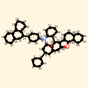 c1ccc(-c2cccc(N(c3ccc(-c4cc5ccccc5c5ccccc45)cc3)c3ccccc3-c3cccc4oc5c6ccccc6ccc5c34)c2)cc1